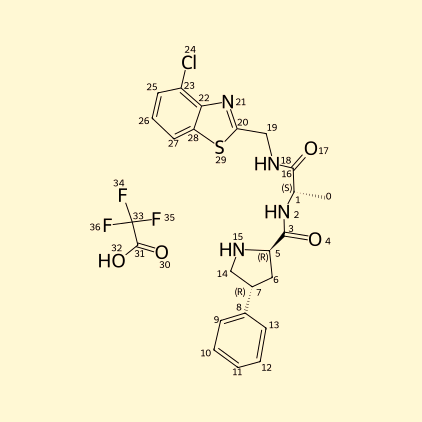 C[C@H](NC(=O)[C@H]1C[C@H](c2ccccc2)CN1)C(=O)NCc1nc2c(Cl)cccc2s1.O=C(O)C(F)(F)F